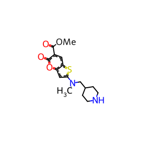 COC(=O)c1cc2sc(N(C)CC3CCNCC3)cc2oc1=O